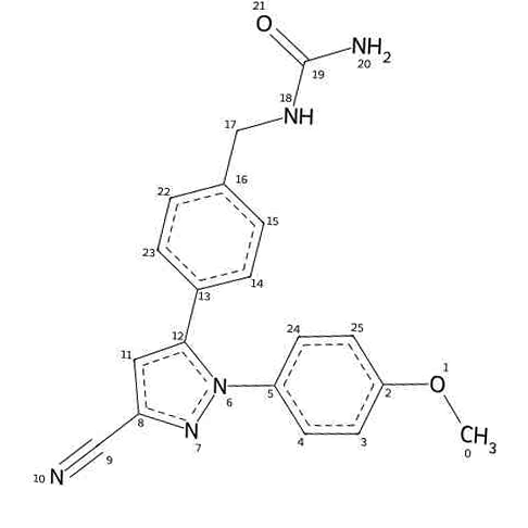 COc1ccc(-n2nc(C#N)cc2-c2ccc(CNC(N)=O)cc2)cc1